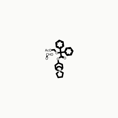 CC(=O)OCOC(C(=O)OC1CC2CCC(C1)[N+]21CCCC1)(c1ccccc1)c1ccccc1.O=C[O-]